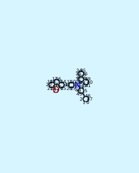 c1ccc(-c2ccc(N(c3ccc(-c4cc5ccc6cccc7oc(c4)c5c67)cc3)c3cc4ccccc4c4ccccc34)cc2)cc1